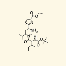 CCOC(=O)c1csc(C(N)CC(C(C)C)N(C)C(=O)C(NC(=O)OC(C)(C)C)C(C)CC)n1